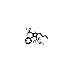 CCCCc1sc(C(N)=O)c(-c2ccccc2)c1S(N)(=O)=O